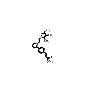 COC(=O)C=Cc1ccc(C2CCCN2CCn2nc(C)c(C)c2C)cc1